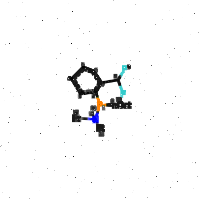 CCCCCCCC[P@](c1ccccc1C(F)F)N(CC)CC